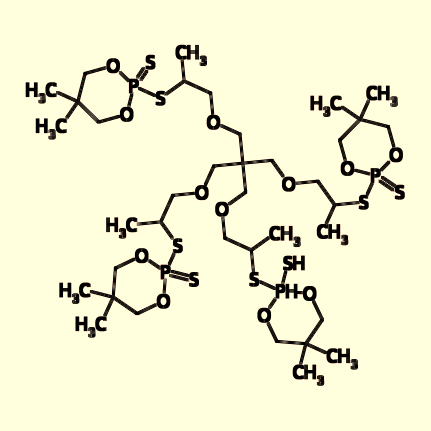 CC(COCC(COCC(C)SP1(=S)OCC(C)(C)CO1)(COCC(C)SP1(=S)OCC(C)(C)CO1)COCC(C)S[PH]1(S)OCC(C)(C)CO1)SP1(=S)OCC(C)(C)CO1